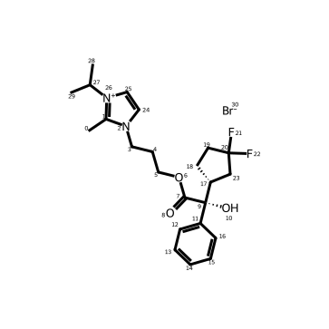 Cc1n(CCCOC(=O)[C@](O)(c2ccccc2)[C@@H]2CCC(F)(F)C2)cc[n+]1C(C)C.[Br-]